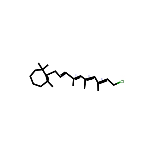 CC1=C(C/C=C/C(C)=C/C(C)=C/C(C)=C/CCl)C(C)(C)CCCC1